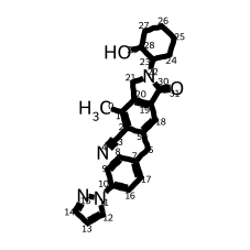 Cc1c(C#N)c(Cc2ccc(-n3cccn3)cc2)cc2c1CN(C1CCCCC1O)C2=O